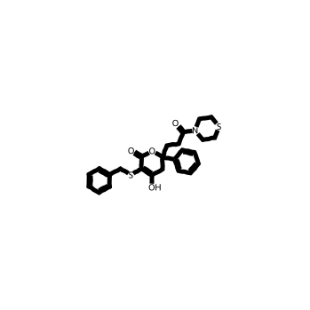 O=C1OC(CCC(=O)N2CCSCC2)(c2ccccc2)CC(O)=C1SCc1ccccc1